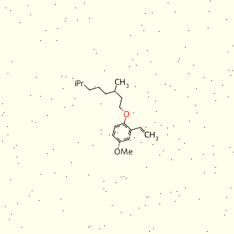 C=Cc1cc(OC)ccc1OCCC(C)CCCC(C)C